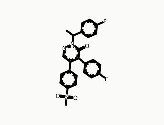 CC(c1ccc(F)cc1)n1ncc(-c2ccc(S(C)(=O)=O)cc2)c(-c2ccc(F)cc2)c1=O